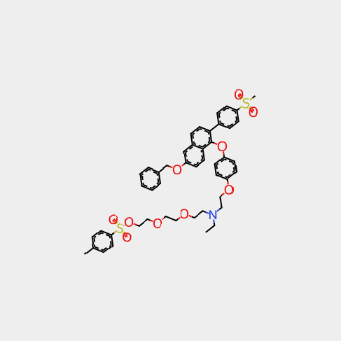 CCN(CCOCCOCCOS(=O)(=O)c1ccc(C)cc1)CCOc1ccc(Oc2c(-c3ccc(S(C)(=O)=O)cc3)ccc3cc(OCc4ccccc4)ccc23)cc1